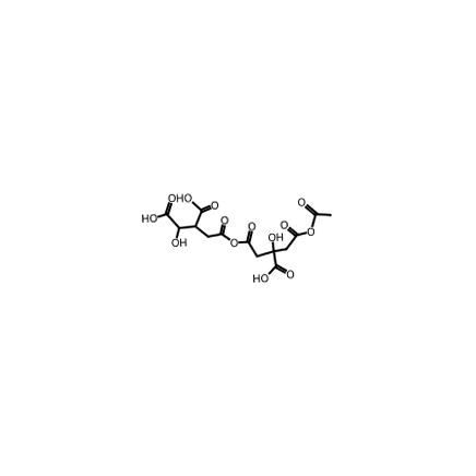 CC(=O)OC(=O)CC(O)(CC(=O)OC(=O)CC(C(=O)O)C(O)C(=O)O)C(=O)O